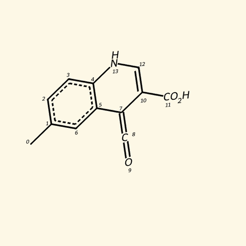 Cc1ccc2c(c1)C(=C=O)C(C(=O)O)=CN2